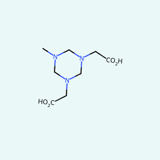 CN1CN(CC(=O)O)CN(CC(=O)O)C1